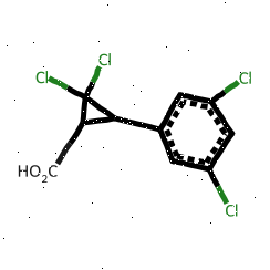 O=C(O)C1C(c2cc(Cl)cc(Cl)c2)C1(Cl)Cl